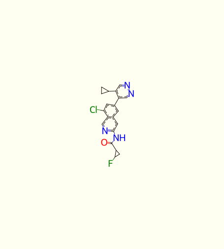 O=C(Nc1cc2cc(-c3cnncc3C3CC3)cc(Cl)c2cn1)C1CC1F